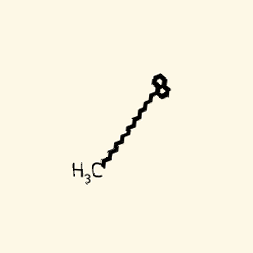 CCCCCCCCCCCCCCCCCCCc1cccc2ccccc12